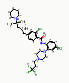 CC(C)(C[AsH]Cc1ccc(C(=O)Nc2ccc(Cl)cc2N2CCN(CCC(F)(F)F)CC2)c(F)c1)N1CCCCC1